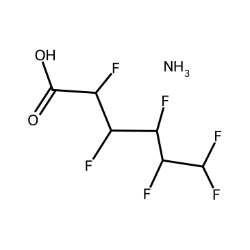 N.O=C(O)C(F)C(F)C(F)C(F)C(F)F